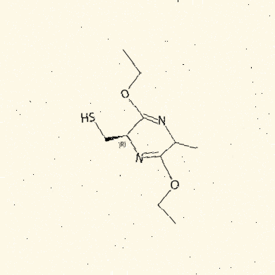 CCOC1=N[C@@H](CS)C(OCC)=NC1C